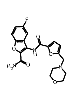 NC(=O)c1oc2ccc(F)cc2c1NC(=O)c1ccc(CN2CCOCC2)o1